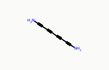 NC#CC#CC#CC#CN